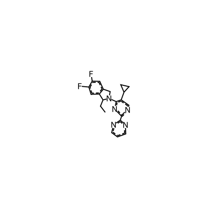 CCC1c2cc(F)c(F)cc2CN1c1nc(-c2ncccn2)ncc1C1CC1